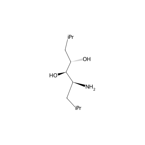 CC(C)C[C@H](N)[C@@H](O)[C@@H](O)CC(C)C